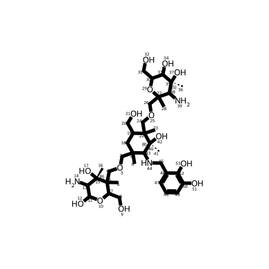 CC1(COCC2(C)C(CO)OC(O)C(N)[C@]2(C)O)CC(CO)C(C)(COCC2(C)OC(CO)C(O)[C@@](C)(O)C2N)[C@@](C)(O)C1NCc1cccc(O)c1O